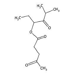 CCC(OC(=O)CCC(C)=O)C(=O)C(C)C